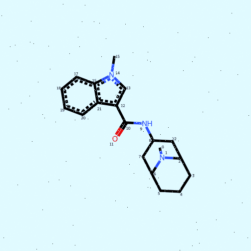 CN1C2CCCC1CC(NC(=O)c1cn(C)c3ccccc13)C2